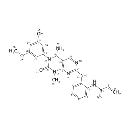 C=CC(=O)Nc1ccccc1Nc1ncc2c(n1)N(C)C(=O)N(c1cc(O)cc(OC)c1)C2N